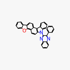 c1ccc(-c2nc3ccccc3nc2-n2c3ccccc3c3c4ccc5c6ccccc6oc5c4ccc32)cc1